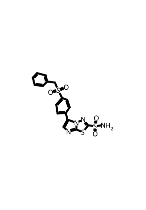 NS(=O)(=O)c1nn2c(-c3ccc(S(=O)(=O)Cc4ccccc4)cc3)cnc2s1